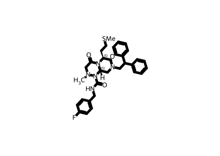 CSCC[C@H]1C(=O)N(CC(c2ccccc2)c2ccccc2)C[C@H]2N1C(=O)CN(C)N2C(=O)NCc1ccc(F)cc1